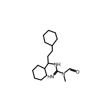 CN(C=O)C(=N)NC(CCC1CCCCC1)C1CCCCC1